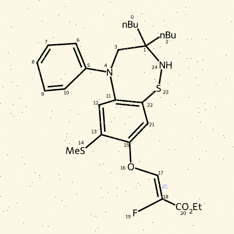 CCCCC1(CCCC)CN(c2ccccc2)c2cc(SC)c(O/C=C(\F)C(=O)OCC)cc2SN1